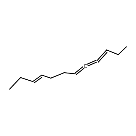 CCC=C=C=CCCC=CCC